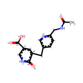 CC(=O)NCc1ccc(Cc2cc(C(=O)O)c[nH]c2=O)cn1